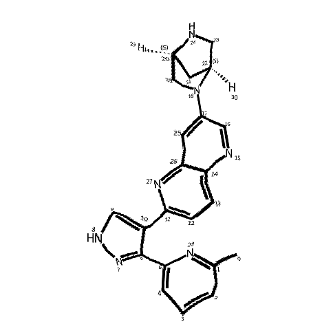 Cc1cccc(-c2n[nH]cc2-c2ccc3ncc(N4C[C@@H]5C[C@H]4CN5)cc3n2)n1